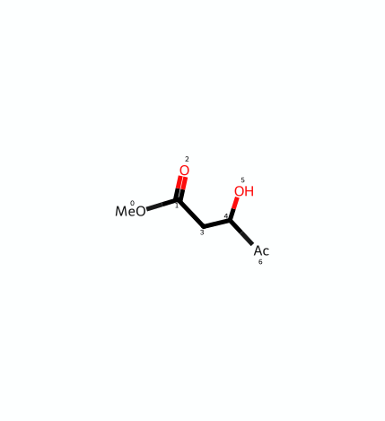 COC(=O)CC(O)C(C)=O